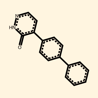 O=c1[nH]nccc1-c1ccc(-c2ccccc2)cc1